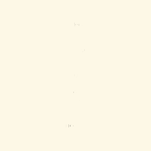 OCCCOCOCCOCCO